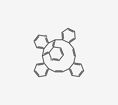 c1ccc2ccc3ccccc3c3c4cccnc4c(c4ccccc4ccc2c1)c1cccnc13